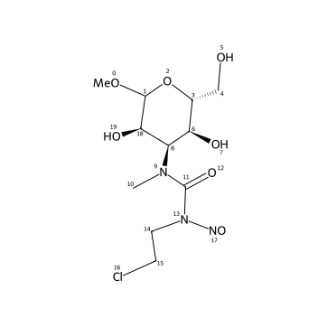 COC1O[C@H](CO)[C@@H](O)[C@@H](N(C)C(=O)N(CCCl)N=O)[C@H]1O